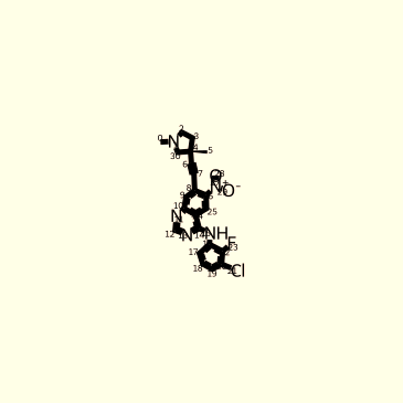 CN1CC[C@](C)(C#Cc2cc3ncnc(Nc4cccc(Cl)c4F)c3cc2[N+](=O)[O-])C1